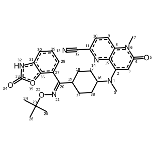 CN(c1cc(=O)n(C)c2ccc(C#N)nc12)C1CCC(/C(=N/OC(C)(C)C)c2cccc3[nH]c(=O)oc23)CC1